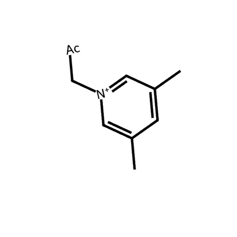 CC(=O)C[n+]1cc(C)cc(C)c1